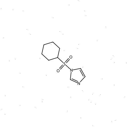 O=S(=O)(C1CCCCC1)n1ccnc1